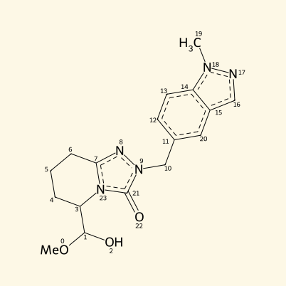 COC(O)C1CCCc2nn(Cc3ccc4c(cnn4C)c3)c(=O)n21